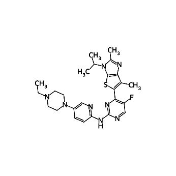 CCN1CCN(c2ccc(Nc3ncc(F)c(-c4sc5c(nc(C)n5C(C)C)c4C)n3)nc2)CC1